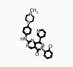 CN1CCN(c2ccc(Nc3ncc4c(=O)n(-c5ccccc5Cl)nc(-c5cccnc5)c4n3)cc2)CC1